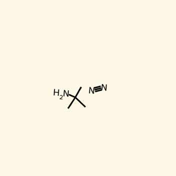 CC(C)(C)N.N#N